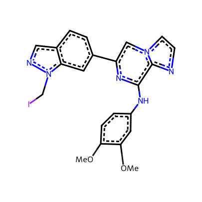 COc1ccc(Nc2nc(-c3ccc4cnn(CI)c4c3)cn3ccnc23)cc1OC